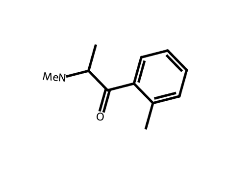 CNC(C)C(=O)c1ccccc1C